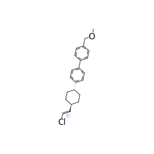 COCc1ccc(-c2ccc([C@H]3CC[C@H](/C=C/Cl)CC3)cc2)cc1